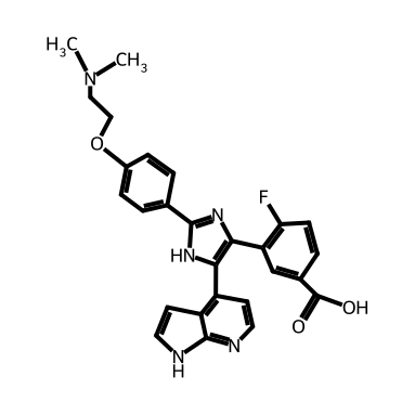 CN(C)CCOc1ccc(-c2nc(-c3cc(C(=O)O)ccc3F)c(-c3ccnc4[nH]ccc34)[nH]2)cc1